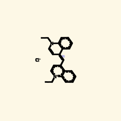 CCN1C=C/C(=C\c2cc[n+](CC)c3ccccc23)c2ccccc21.[Cl-]